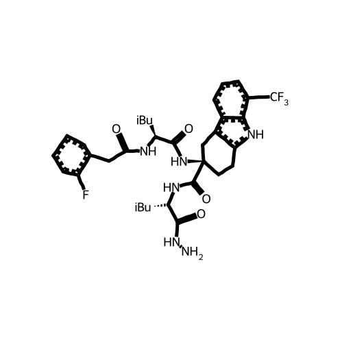 CCC(C)[C@H](NC(=O)Cc1ccccc1F)C(=O)N[C@]1(C(=O)NC(C(=O)NN)[C@@H](C)CC)CCc2[nH]c3c(C(F)(F)F)cccc3c2C1